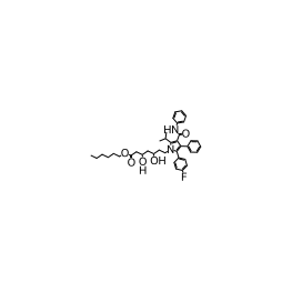 CCCCCCOC(=O)CC(O)CC(O)CCn1c(-c2ccc(F)cc2)c(-c2ccccc2)c(C(=O)Nc2ccccc2)c1C(C)C